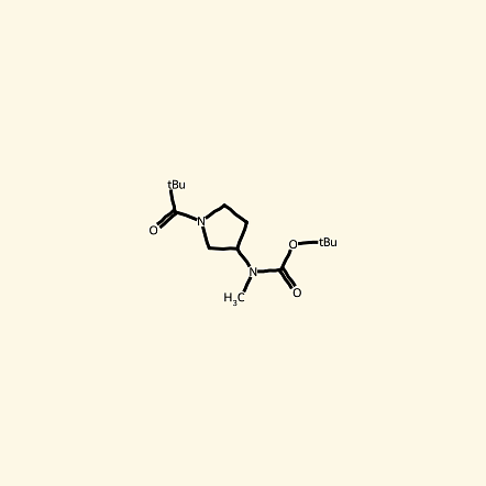 CN(C(=O)OC(C)(C)C)C1CCN(C(=O)C(C)(C)C)C1